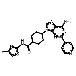 Cc1csc(NC(=O)C2CCC(n3cnc4c(N)nc(-c5ccncc5)nc43)CC2)n1